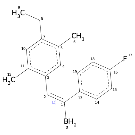 B/C(=C/c1cc(C)c(CC)cc1C)c1ccc(F)cc1